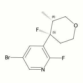 C[C@@H]1COCC[C@@]1(F)c1cc(Br)cnc1F